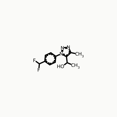 Cc1nnn(-c2ccc(C(F)F)cc2)c1C(C)O